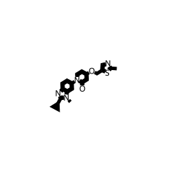 Cc1ncc(COc2ccn(-c3ccc4nc(C5CC5)n(C)c4c3)c(=O)c2)s1